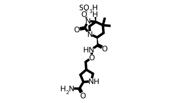 CC1(C)C[C@@H](C(=O)NOCC2CNC(C(N)=O)C2)N2C[C@@H]1N(OS(=O)(=O)O)C2=O